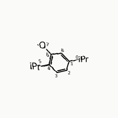 CC(C)c1ccc(C(C)C)c([O])c1